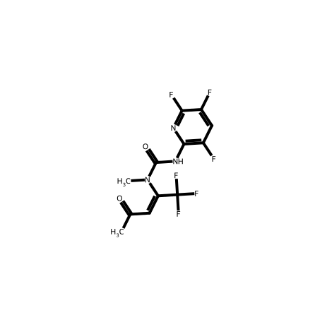 CC(=O)/C=C(\N(C)C(=O)Nc1nc(F)c(F)cc1F)C(F)(F)F